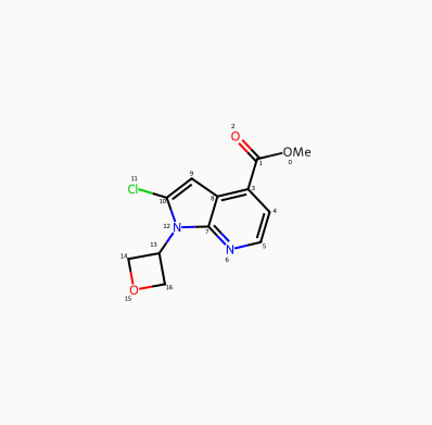 COC(=O)c1ccnc2c1cc(Cl)n2C1COC1